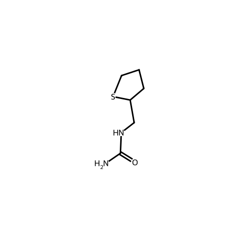 NC(=O)NCC1CCCS1